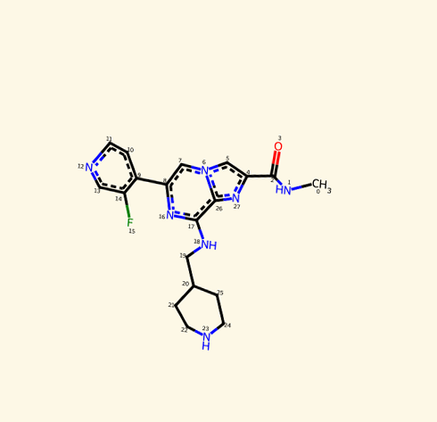 CNC(=O)c1cn2cc(-c3ccncc3F)nc(NCC3CCNCC3)c2n1